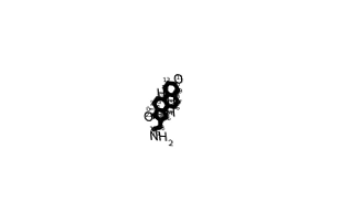 C[C@]12CC[C@H]3[C@@H](CCC4=CC(=O)CC[C@@H]43)[C@@H]1CC(CCN)C2=O